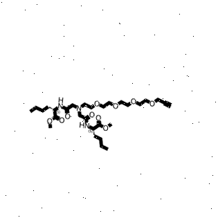 C#CCOCCOCCOCCOCCN(CC(=O)N[C@@H](CCCC)C(=O)OC)CC(=O)N[C@@H](CCCC)C(=O)OC